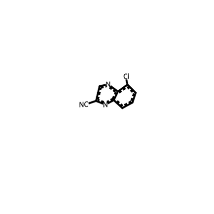 N#Cc1cnc2c(Cl)cccc2n1